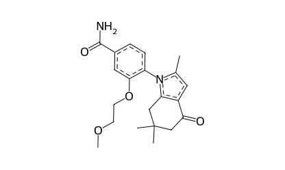 COCCOc1cc(C(N)=O)ccc1-n1c(C)cc2c1CC(C)(C)CC2=O